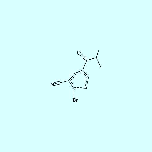 CC(C)C(=O)c1ccc(Br)c(C#N)c1